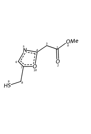 COC(=O)Cc1ncc(CS)o1